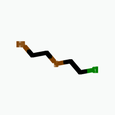 SCCSCCCl